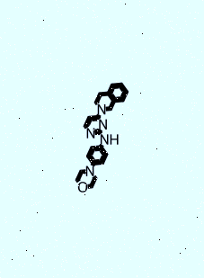 c1ccc2c(c1)CCN(c1ccnc(Nc3ccc(N4CCOCC4)cc3)n1)C2